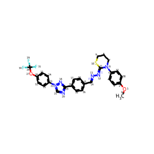 COc1ccc(N2CCCS/C2=N\N=C\c2ccc(-c3ncn(-c4ccc(OC(F)(F)F)cc4)n3)cc2)cc1